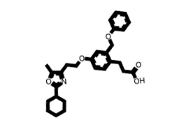 Cc1oc(C2CCCCC2)nc1CCOc1ccc(CCC(=O)O)c(COc2ccccc2)c1